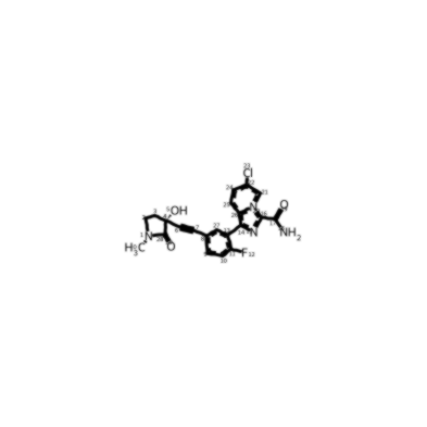 CN1CC[C@@](O)(C#Cc2ccc(F)c(-c3nc(C(N)=O)n4cc(Cl)ccc34)c2)C1=O